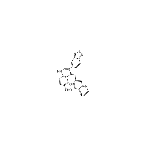 O=Cc1ccc2c(c1O)N(Cc1ccc3nccnc3c1)C(c1ccc3nsnc3c1)=CN2